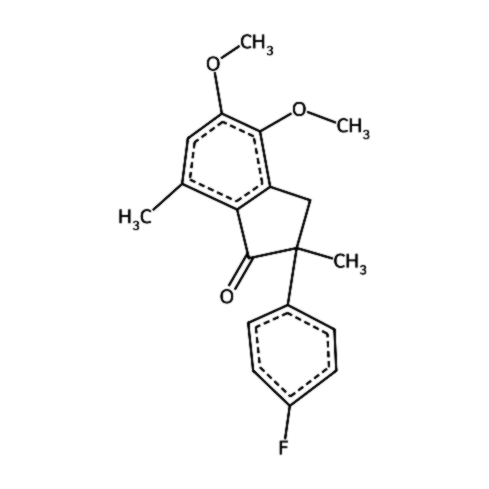 COc1cc(C)c2c(c1OC)CC(C)(c1ccc(F)cc1)C2=O